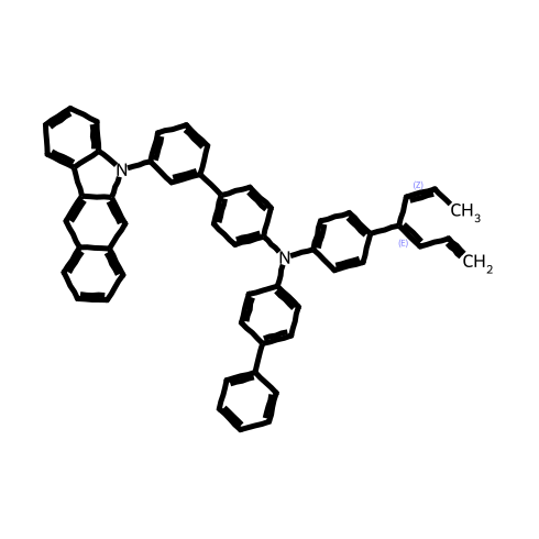 C=C/C=C(\C=C/C)c1ccc(N(c2ccc(-c3ccccc3)cc2)c2ccc(-c3cccc(-n4c5ccccc5c5cc6ccccc6cc54)c3)cc2)cc1